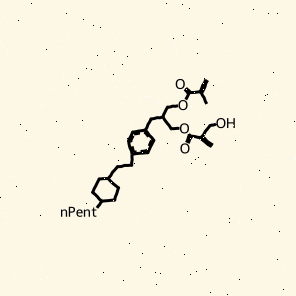 C=C(C)C(=O)OCC(COC(=O)C(=C)CO)Cc1ccc(CCC2CCC(CCCCC)CC2)cc1